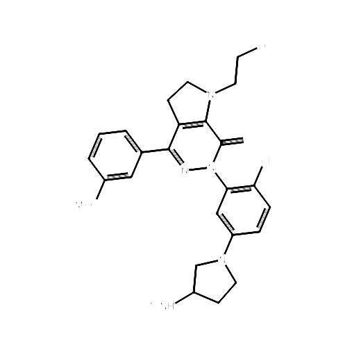 COc1cccc(-c2nn(-c3cc(N4CCC(NC(C)=O)C4)ccc3C(F)(F)F)c(=O)c3c2CCN3CCO)c1